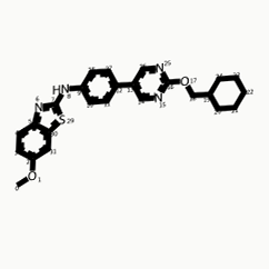 COc1ccc2nc(Nc3ccc(-c4cnc(OCC5CCCCC5)nc4)cc3)sc2c1